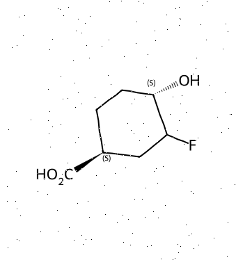 O=C(O)[C@H]1CC[C@H](O)C(F)C1